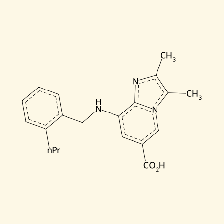 CCCc1ccccc1CNc1cc(C(=O)O)cn2c(C)c(C)nc12